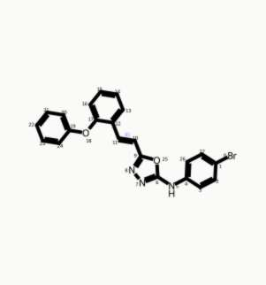 Brc1ccc(Nc2nnc(/C=C/c3ccccc3Oc3ccccc3)o2)cc1